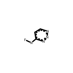 F[N]c1ccnnn1